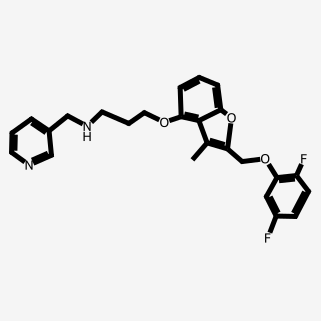 Cc1c(COc2cc(F)ccc2F)oc2cccc(OCCCNCc3cccnc3)c12